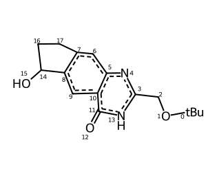 CC(C)(C)OCc1nc2cc3c(cc2c(=O)[nH]1)C(O)CC3